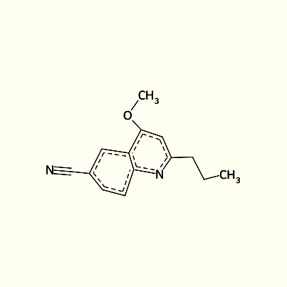 CCCc1cc(OC)c2cc(C#N)ccc2n1